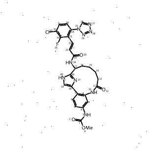 COC(=O)Nc1ccc2c(c1)NC(=O)CCCCC(NC(=O)/C=C/c1c(-n3cnnn3)ccc(Cl)c1F)c1nc-2c[nH]1